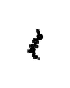 COC[C@@H]1C[C@@H](NC(=O)c2nnc(-c3cccc(C#N)c3)o2)CN1